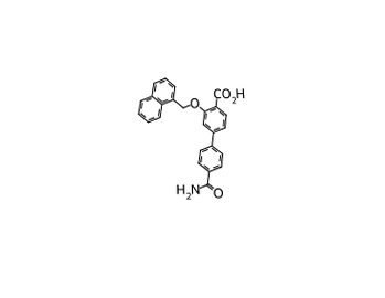 NC(=O)c1ccc(-c2ccc(C(=O)O)c(OCc3cccc4ccccc34)c2)cc1